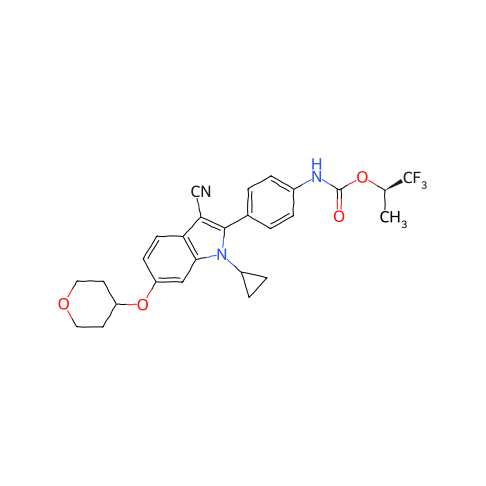 C[C@@H](OC(=O)Nc1ccc(-c2c(C#N)c3ccc(OC4CCOCC4)cc3n2C2CC2)cc1)C(F)(F)F